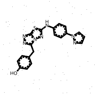 Oc1ccc(Cc2nnc3sc(Nc4ccc(-n5cccn5)cc4)nn23)cc1